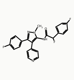 Cn1nc(-c2ccc(F)cc2)c(-c2ccncc2)c1NC(=O)C(F)c1ccc(F)cc1